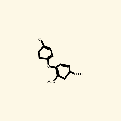 COC1=C(OC2=CC=C(Cl)CC2)C=CC(C(=O)O)C1